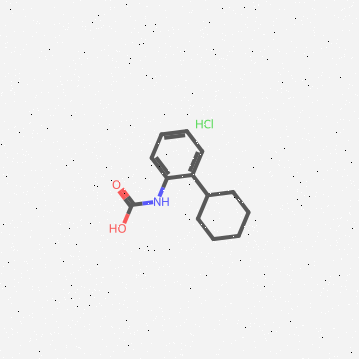 Cl.O=C(O)Nc1ccccc1C1CCCCC1